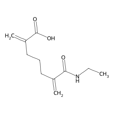 C=C(CCCC(=C)C(=O)NCC)C(=O)O